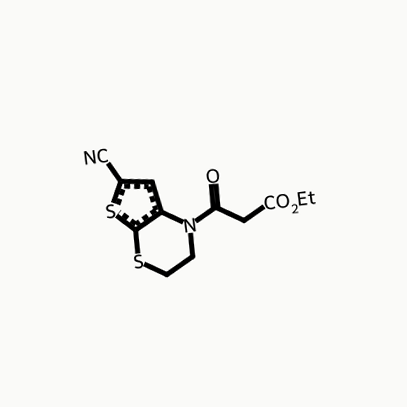 CCOC(=O)CC(=O)N1CCSc2sc(C#N)cc21